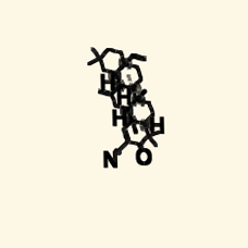 C=C[C@]12CCC(C)(C)C[C@H]1[C@H]1C(=C)C[C@@H]3[C@@]4(C)C=C(C#N)C(=O)C(C)(C)[C@@H]4CC[C@@]3(C)[C@]1(C)CC2